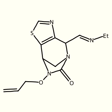 C=CCON1C(=O)N2CC1c1scnc1C2/C=N/CC